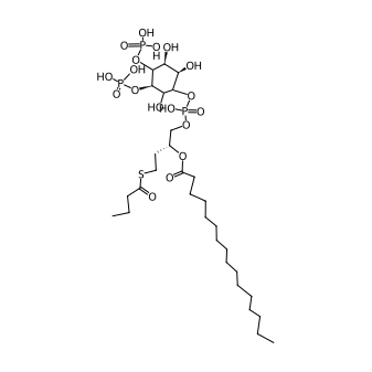 CCCCCCCCCCCCCCCC(=O)O[C@H](CCSC(=O)CCC)COP(=O)(O)OC1C(O)[C@@H](OP(=O)(O)O)C(OP(=O)(O)O)[C@@H](O)[C@H]1O